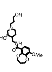 COc1ccc(C(=O)NCC2CCN(CCCO)C[C@H]2O)c2c1OCCCO2